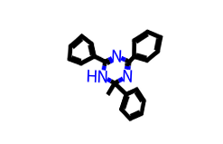 CC1(c2ccccc2)N=C(c2ccccc2)N=C(c2ccccc2)N1